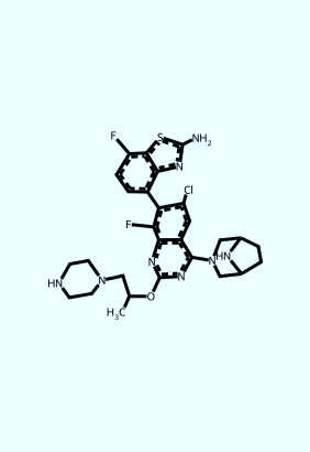 CC(CN1CCNCC1)Oc1nc(N2CC3CCC(C2)N3)c2cc(Cl)c(-c3ccc(F)c4sc(N)nc34)c(F)c2n1